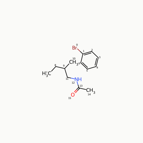 Brc1ccccc1.CCC(C)CNC(C)=O